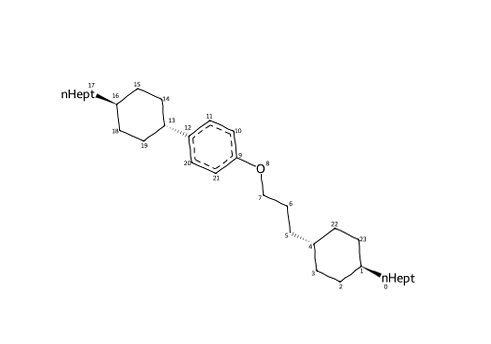 CCCCCCC[C@H]1CC[C@H](CCCOc2ccc([C@H]3CC[C@H](CCCCCCC)CC3)cc2)CC1